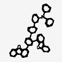 c1ccc(N(c2ccccc2)c2cccc(-c3ccc(-c4ccc(-c5cccc6c5oc5ccccc56)cc4-c4cccc5c4oc4ccccc45)cc3)c2)cc1